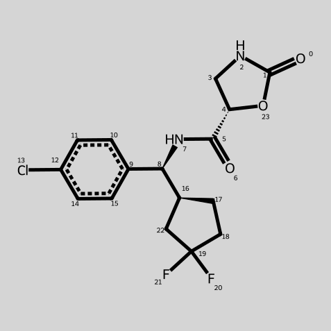 O=C1NC[C@@H](C(=O)N[C@H](c2ccc(Cl)cc2)[C@H]2CCC(F)(F)C2)O1